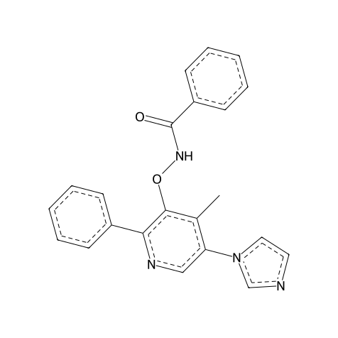 Cc1c(-n2ccnc2)cnc(-c2ccccc2)c1ONC(=O)c1ccccc1